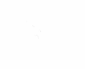 CN1CCN(CC2CCCCCCC2(O)c2cccs2)CC1